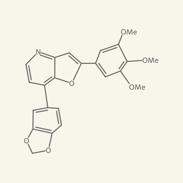 COc1cc(-c2cc3nccc(-c4ccc5c(c4)OCO5)c3o2)cc(OC)c1OC